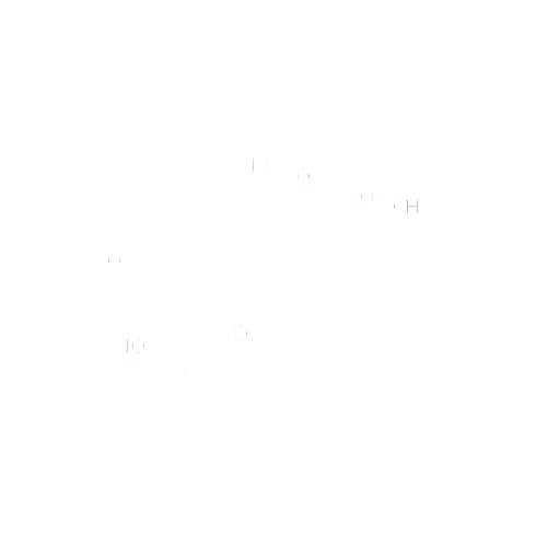 COc1ccc(-c2coc(C(CC=O)C(=O)O)c2)cc1OC